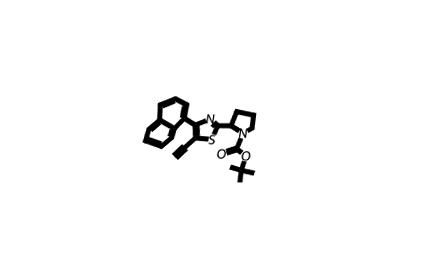 C#Cc1sc(C2CCCN2C(=O)OC(C)(C)C)nc1-c1cccc2ccccc12